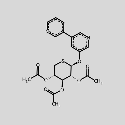 CC(=O)O[C@@H]1[C@@H](OC(C)=O)[C@H](OC(C)=O)CS[C@H]1Oc1cncc(-c2cccnc2)c1